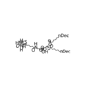 CCCCCCCCCCCCCCCC(=O)OC[C@H](COP(=O)(O)OCCNC(=O)CCCC[C@@H]1SC[C@@H]2NC(=O)N[C@@H]21)OC(=O)CCCCCCCCCCCCCCC